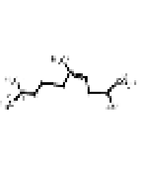 CCC(CC=C(C)CCC=C(C)C)C(=O)O